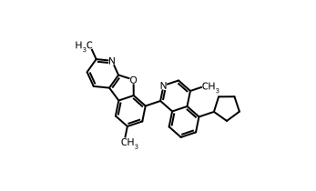 Cc1cc(-c2ncc(C)c3c(C4CCCC4)cccc23)c2oc3nc(C)ccc3c2c1